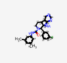 Cc1cc(C)cc(NC(=O)N2CCc3c([nH]c4ncncc34)C2c2cccc(F)c2)c1